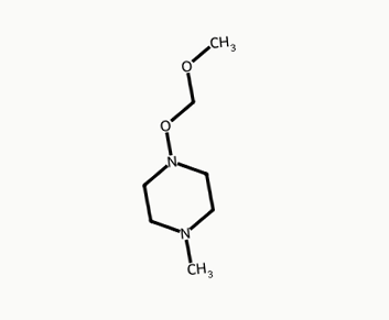 COCON1CCN(C)CC1